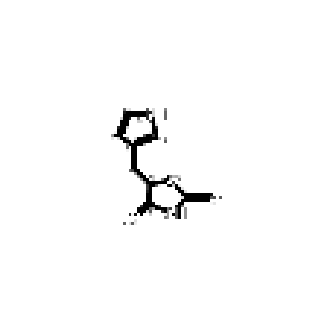 O=C1NC(=S)SC1Cc1cc[nH]c1